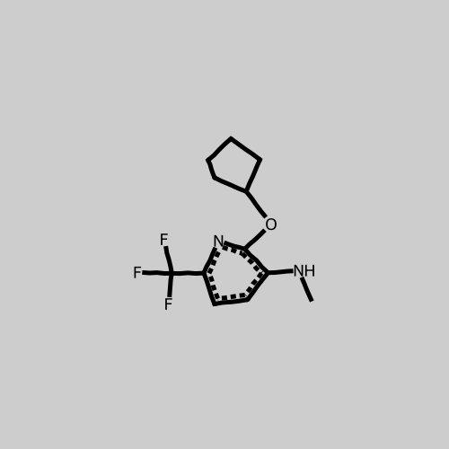 CNc1ccc(C(F)(F)F)nc1OC1CCCC1